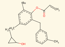 C=CC(=O)Oc1c(Cc2cccc(C)c2)cc(C)cc1C(C)(C)C.CC1CC1O